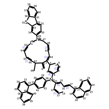 C=C1/C(C(C)/C=C(\C=C/C)N(C(/C=C\C)=C/C=C/c2cccc3ccccc23)c2ccc(-c3cccc4ccccc34)cc2)=C\C=C/CN(c2ccc3c(c2)sc2ccccc23)C/C=C\C=C/C1C